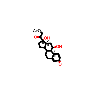 CC(=O)OCC(=O)[C@]1(O)CCC2C3CCC4=CC(=O)C=C[C@]4(C)C3C(O)C[C@@]21C